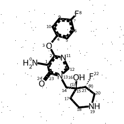 Nc1c(Oc2ccc(F)cc2)ncn(C[C@@]2(O)CCNC[C@H]2F)c1=O